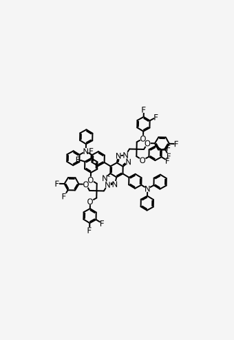 Fc1ccc(OCC(COc2ccc(F)c(F)c2)(COc2ccc(F)c(F)c2)Cn2nc3c(-c4ccc(N(c5ccccc5)c5ccccc5)cc4)c4n[n+](CC(COc5ccc(F)c(F)c5)(COc5ccc(F)c(F)c5)COc5ccc(F)c(F)c5)[n-]c4c(-c4ccc(N(c5ccccc5)c5ccccc5)cc4)c3n2)cc1F